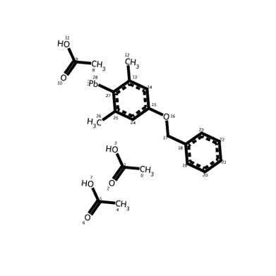 CC(=O)O.CC(=O)O.CC(=O)O.Cc1cc(OCc2ccccc2)cc(C)[c]1[Pb]